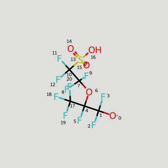 [O]C(F)(F)C(F)(OC(F)(F)C(F)(F)S(=O)(=O)O)C(F)(F)F